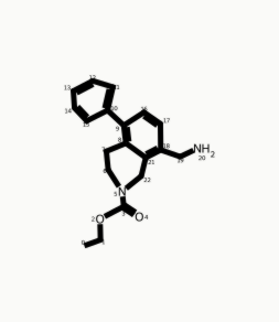 CCOC(=O)N1CCc2c(-c3ccccc3)ccc(CN)c2C1